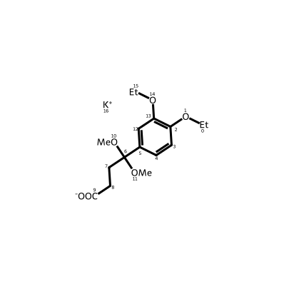 CCOc1ccc(C(CCC(=O)[O-])(OC)OC)cc1OCC.[K+]